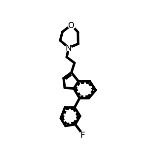 Fc1cccc(-c2cccc3c2CC=C3CCN2CCOCC2)c1